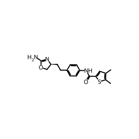 Cc1cc(C(=O)Nc2ccc(CC[C@H]3COC(N)=N3)cc2)sc1C